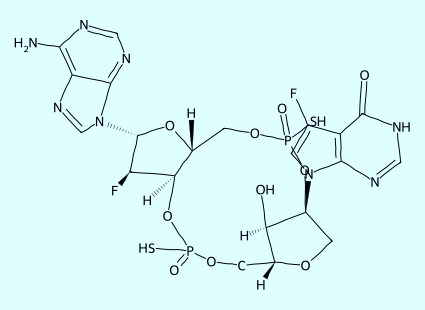 Nc1ncnc2c1ncn2[C@@H]1O[C@@H]2COP(=O)(S)O[C@]3(n4cc(F)c5c(=O)[nH]cnc54)CO[C@H](COP(=O)(S)O[C@H]2[C@H]1F)[C@H]3O